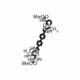 CCCN(C(=O)[C@@H](NC(=O)OC)C(C)C)[C@@H](C)c1ncc(-c2ccc(-c3ccc(-c4cnc([C@H](C)N5CCC[C@@H](NC(=O)OC)C5=O)[nH]4)cc3)cc2)[nH]1